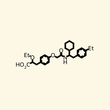 CCOC(Cc1ccc(OCC(=O)NC(Cc2ccc(CC)cc2)C2CCCCC2)cc1)C(=O)O